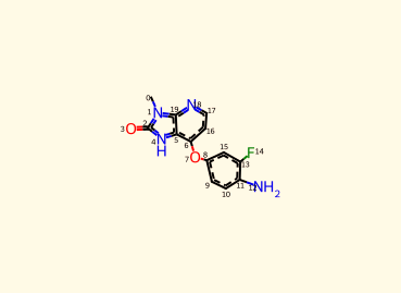 Cn1c(=O)[nH]c2c(Oc3ccc(N)c(F)c3)ccnc21